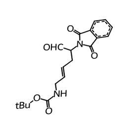 CC(C)(C)OC(=O)NCC=CCC(C=O)N1C(=O)c2ccccc2C1=O